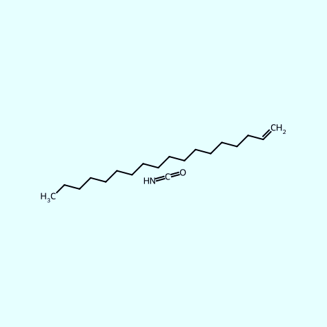 C=CCCCCCCCCCCCCCCCC.N=C=O